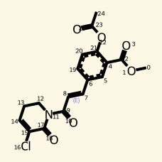 COC(=O)c1cc(/C=C/C(=O)N2CCC=C(Cl)C2=O)ccc1OC(C)=O